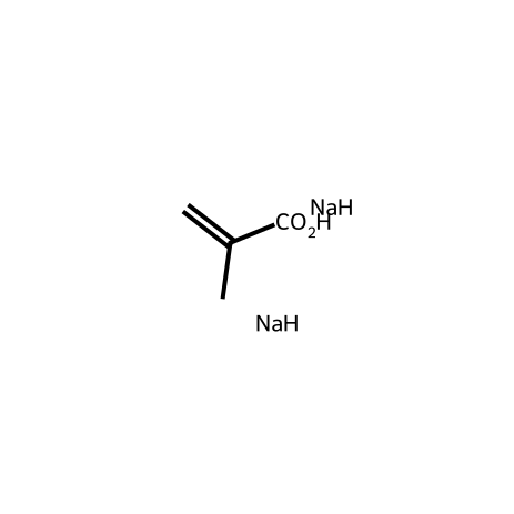 C=C(C)C(=O)O.[NaH].[NaH]